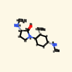 CC(=O)N[C@@H]1C[C@H](NC(C)(C)C)CCC1N1CC[C@H](NC(=O)O)C1=O